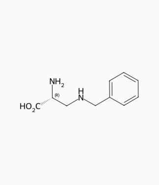 N[C@H](CNCc1ccccc1)C(=O)O